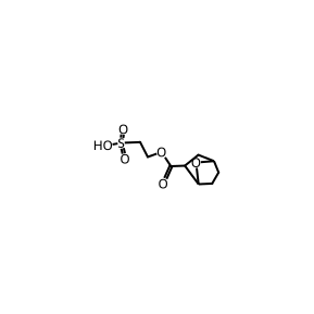 O=C(OCCS(=O)(=O)O)C1CC2CCC1O2